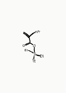 C=C(CCC)C(=O)[O][Ti]([CH2]C)([CH2]C)[CH2]C